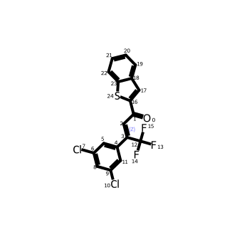 O=C(/C=C(/c1cc(Cl)cc(Cl)c1)C(F)(F)F)c1cc2ccccc2s1